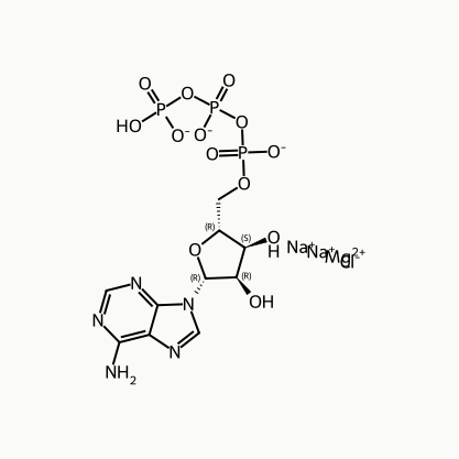 Nc1ncnc2c1ncn2[C@@H]1O[C@H](COP(=O)([O-])OP(=O)([O-])OP(=O)([O-])O)[C@@H](O)[C@H]1O.[Cl-].[Mg+2].[Na+].[Na+]